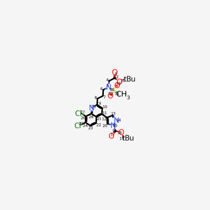 CC(C)(C)OC(=O)CN(CCCc1cc(-c2cnn(C(=O)OC(C)(C)C)c2)c2ccc(Cl)c(Cl)c2n1)S(C)(=O)=O